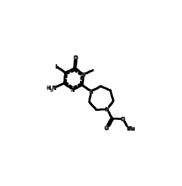 Cn1c(N2CCCN(C(=O)OC(C)(C)C)CC2)nc(N)c(I)c1=O